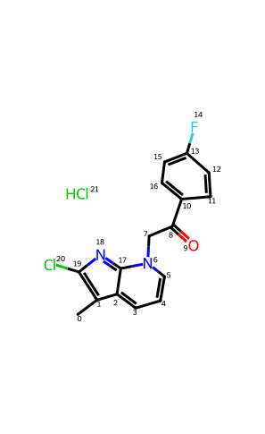 Cc1c2cccn(CC(=O)c3ccc(F)cc3)c-2nc1Cl.Cl